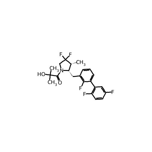 C[C@@H]1[C@H](Cc2cccc(-c3cc(F)ccc3F)c2F)N(C(=O)C(C)(C)O)CC1(F)F